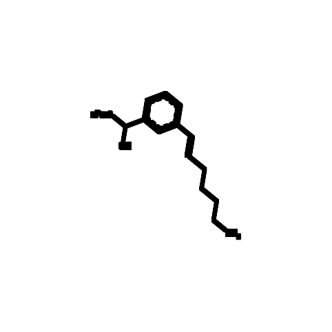 CCCCCC(O)c1cccc(C=CCCCCN)c1